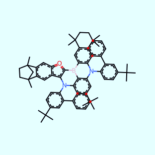 CC(C)(C)c1ccc(N2c3cc4c(cc3B3c5oc6cc7c(cc6c5N(c5ccc(C(C)(C)C)cc5-c5ccccc5)c5cc(C(C)(C)C)cc2c53)C2(C)CCC7(C)C2)C(C)(C)CCC4(C)C)c(-c2ccccc2)c1